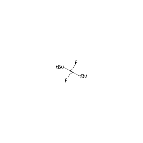 CC(C)(C)S(F)(F)C(C)(C)C